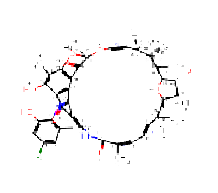 COc1cc(Br)cc(O)c1/N=C1\C=C2NC(=O)/C(C)=C\C=C\[C@H](C)[C@@H]3O[C@H]([C@H](O)[C@@H]3C)[C@H](OC(C)=O)[C@H](C)[C@@H](OC)/C=C/O[C@@]3(C)Oc4c(C)c(O)c(c1c4C3=O)C2=O